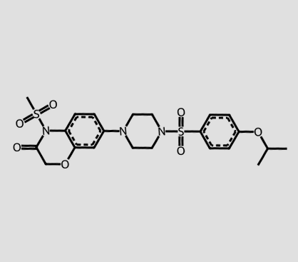 CC(C)Oc1ccc(S(=O)(=O)N2CCN(c3ccc4c(c3)OCC(=O)N4S(C)(=O)=O)CC2)cc1